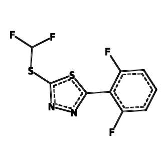 Fc1cccc(F)c1-c1nnc(SC(F)F)s1